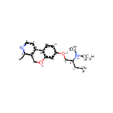 Cc1nccc2c1COc1cc(OCC(CC(C)C)N(C(=O)O)C(C)(C)C)ccc1-2